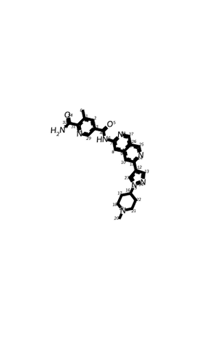 Cc1cc(C(=O)Nc2cc3cc(-c4cnn(C5CCN(C)CC5)c4)ncc3cn2)cnc1C(N)=O